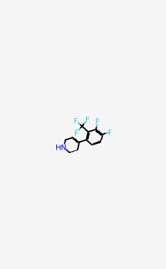 Fc1ccc(C2=CCNCC2)c(C(F)(F)F)c1F